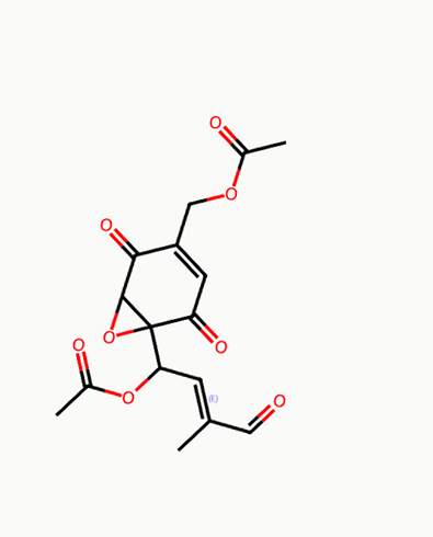 CC(=O)OCC1=CC(=O)C2(C(/C=C(\C)C=O)OC(C)=O)OC2C1=O